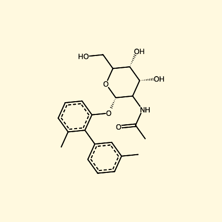 CC(=O)NC1[C@H](Oc2cccc(C)c2-c2cccc(C)c2)OC(CO)[C@H](O)[C@@H]1O